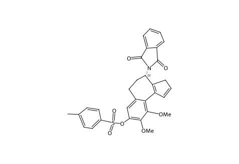 COc1c(OS(=O)(=O)c2ccc(C)cc2)cc2c(c1OC)C1=C(CC=C1)[C@@H](N1C(=O)c3ccccc3C1=O)CC2